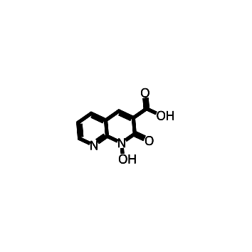 O=C(O)c1cc2cccnc2n(O)c1=O